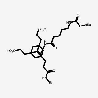 CCNC(=O)CCC12CC(NC(=O)CCCCNC(=O)OC(C)(C)C)=C3C(CCC(=O)O)(C1)CC3(CCC(=O)O)C2